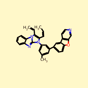 C=Cc1c(/C=C\C)n(-c2cc(C)cc(-c3ccc4oc5cnccc5c4c3)c2)c2nc3ccccc3n12